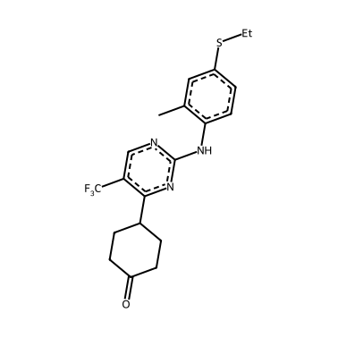 CCSc1ccc(Nc2ncc(C(F)(F)F)c(C3CCC(=O)CC3)n2)c(C)c1